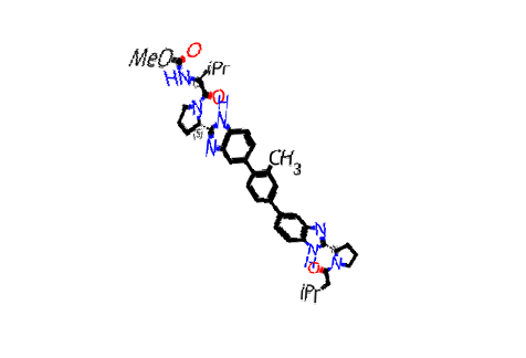 COC(=O)N[C@H](C(=O)N1CCC[C@H]1c1nc2cc(-c3ccc(-c4ccc5[nH]c([C@@H]6CCCN6C(=O)CC(C)C)nc5c4)cc3C)ccc2[nH]1)C(C)C